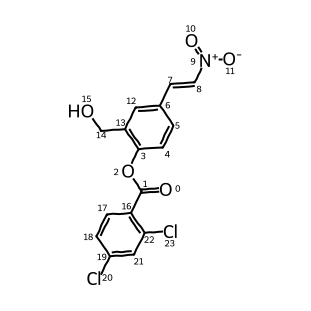 O=C(Oc1ccc(/C=C/[N+](=O)[O-])cc1CO)c1ccc(Cl)cc1Cl